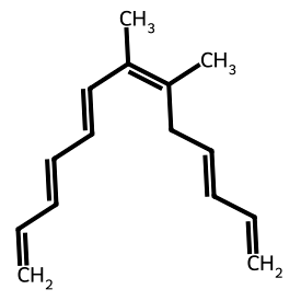 C=CC=CC=CC(C)=C(C)CC=CC=C